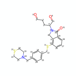 O=CCCC(C=O)N1Cc2c(SCc3ccc(CN4CCSCC4)cc3)cccc2C1=O